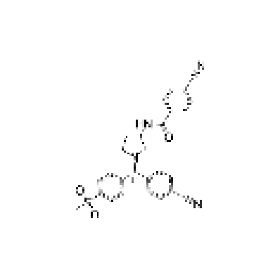 CS(=O)(=O)c1ccc([C@@H](c2ccc(C#N)cc2)N2CCC(NC(=O)c3ccc(C#N)cc3)C2)cc1